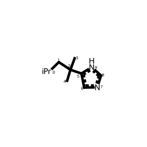 CC(C)CC(C)(C)c1cnc[nH]1